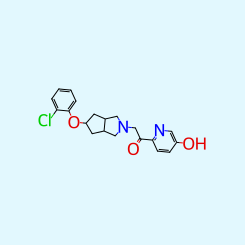 O=C(CN1CC2CC(Oc3ccccc3Cl)CC2C1)c1ccc(O)cn1